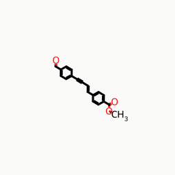 COC(=O)c1ccc(C=CC#Cc2ccc(C=O)cc2)cc1